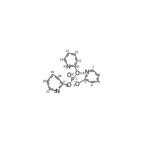 O=P(Oc1ccccn1)(Oc1ccccn1)Oc1ccccn1